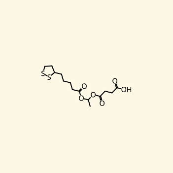 CC(OC(=O)CCCCC1CCSS1)OC(=O)CCC(=O)O